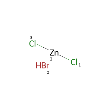 Br.[Cl][Zn][Cl]